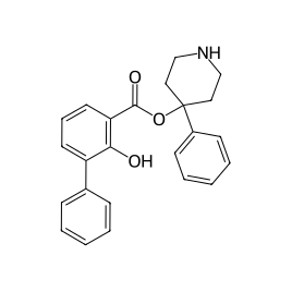 O=C(OC1(c2ccccc2)CCNCC1)c1cccc(-c2ccccc2)c1O